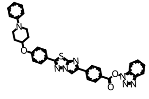 O=C(On1nnc2ccccc21)c1ccc(-c2cn3nc(-c4ccc(OC5CCN(c6ccccc6)CC5)cc4)sc3n2)cc1